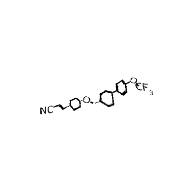 N#CC=C[C@H]1CC[C@H](OC[C@H]2CC[C@H](c3ccc(OC(F)(F)F)cc3)CC2)CC1